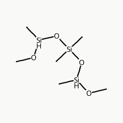 CO[SiH](C)O[Si](C)(C)O[SiH](C)OC